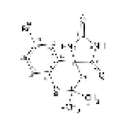 CC1(C)CC2(NC(=O)NC2=O)c2cc(Br)ccc2O1